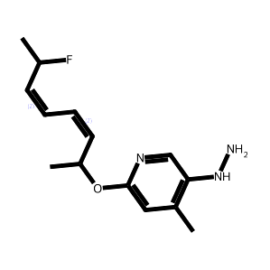 Cc1cc(OC(C)/C=C\C=C/C(C)F)ncc1NN